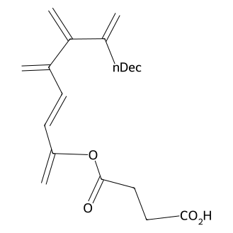 C=C(C=CC(=C)C(=C)C(=C)CCCCCCCCCC)OC(=O)CCC(=O)O